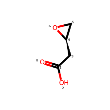 O=C(O)C[C@@H]1CO1